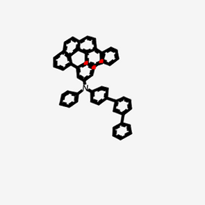 c1ccc(-c2cccc(-c3ccc(N(c4ccccc4)c4cc(-c5ccccc5)cc(-c5cccc6ccc7ccc8ccccc8c7c56)c4)cc3)c2)cc1